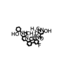 COc1nc(-c2cccc(-c3cc(F)cc(NC(=O)c4cc(O)nn(C)c4=O)c3Cl)c2Cl)ccc1CNC1CCCCC1O